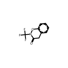 O=C1Cc2ccccc2ON1C(F)(F)F